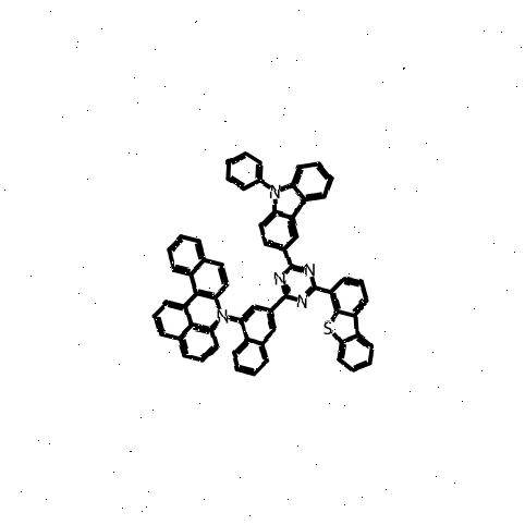 c1ccc(-n2c3ccccc3c3cc(-c4nc(-c5cc(N6c7ccc8ccccc8c7-c7cccc8cccc6c78)c6ccccc6c5)nc(-c5cccc6c5sc5ccccc56)n4)ccc32)cc1